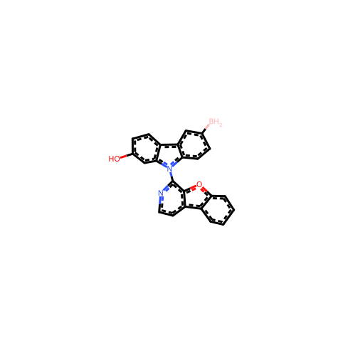 Bc1ccc2c(c1)c1ccc(O)cc1n2-c1nccc2c1oc1ccccc12